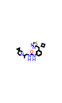 CC(CNC(=O)Nc1cccc([C@H](c2nncs2)C2CCC2)c1)N1CCC2(CC2)C1